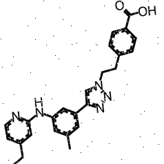 CCc1ccnc(Nc2cc(C)cc(-c3cn(CCc4ccc(C(=O)O)cc4)nn3)c2)c1